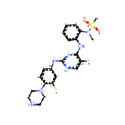 CN(c1ccccc1Nc1nc(Nc2ccc(N3CCNCC3)c(F)c2)ncc1Cl)S(C)(=O)=O